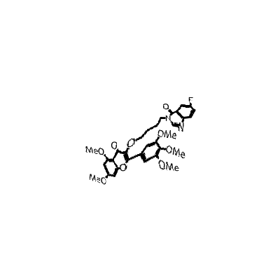 COc1cc(OC)c2c(=O)c(OCCCCn3cnc4ccc(F)cc4c3=O)c(-c3cc(OC)c(OC)c(OC)c3)oc2c1